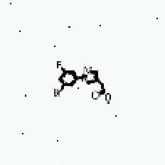 COC(=O)Cc1cnn(-c2cc(F)cc(Br)c2)c1